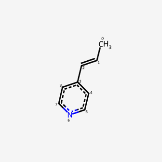 CC=Cc1ccncc1